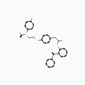 CCCC(=O)N(CCOc1ccc(CC(Nc2ccccc2C(=O)c2ccccc2)C(=O)O)cc1)c1ccc(Cl)cc1